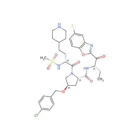 CC[C@H](NC(=O)[C@@H]1C[C@@H](OCc2ccc(Cl)cc2)CN1C(=O)[C@@H](CCC1CCNCC1)NS(C)(=O)=O)C(=O)c1nc2cc(F)ccc2o1